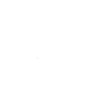 CN(C)CC(=O)O.O=C(O)c1ccccc1.[Cu]